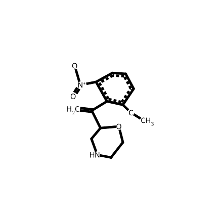 C=C(c1c(CC)cccc1[N+](=O)[O-])C1CNCCO1